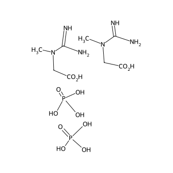 CN(CC(=O)O)C(=N)N.CN(CC(=O)O)C(=N)N.O=P(O)(O)O.O=P(O)(O)O